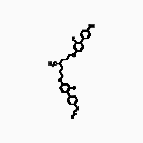 CC(CCCOc1ccc(-c2ccc(S)cc2)c(F)c1)CCCOc1ccc(-c2ccc(N=C=S)cc2)c(F)c1